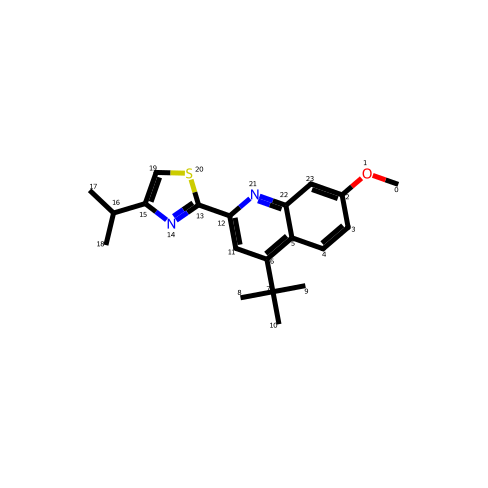 COc1ccc2c(C(C)(C)C)cc(-c3nc(C(C)C)cs3)nc2c1